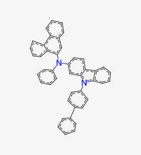 c1ccc(-c2ccc(-n3c4ccccc4c4ccc(N(c5ccccc5)c5cc6ccccc6c6ccccc56)cc43)cc2)cc1